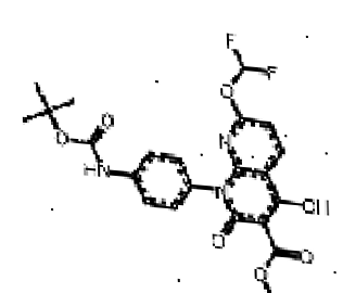 COC(=O)c1c(O)c2ccc(OC(F)F)nc2n(-c2ccc(NC(=O)OC(C)(C)C)cc2)c1=O